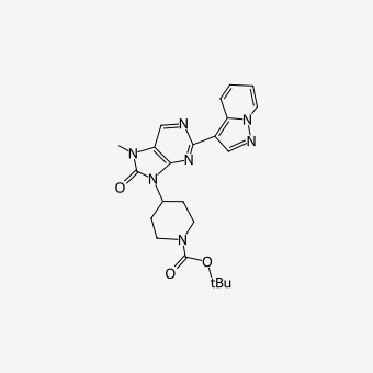 Cn1c(=O)n(C2CCN(C(=O)OC(C)(C)C)CC2)c2nc(-c3cnn4ccccc34)ncc21